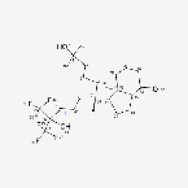 CC(C)(O)CCC[C@@](C)(C/C=C/C(O)(C(F)(F)F)C(F)(F)F)C1CCC2C(=O)CCC[C@@]21C